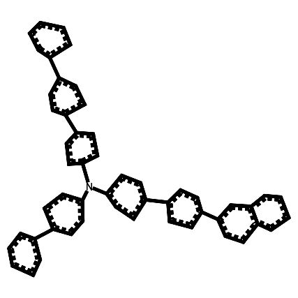 c1ccc(-c2ccc(-c3ccc(N(c4ccc(-c5ccccc5)cc4)c4ccc(-c5ccc(-c6ccc7ccccc7c6)cc5)cc4)cc3)cc2)cc1